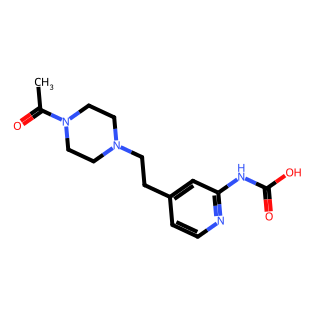 CC(=O)N1CCN(CCc2ccnc(NC(=O)O)c2)CC1